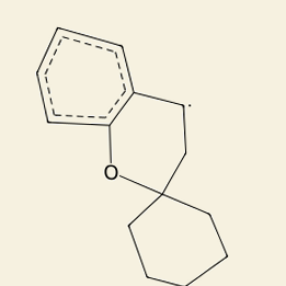 [CH]1CC2(CCCCC2)Oc2ccccc21